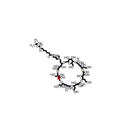 CC(C)(C)OC(=O)NCCCCCC(=O)NCc1cn(CCC2OC3OC(CO)C(OC(O)/C(O)=C(/O)C(CCO)OC(O)/C(O)=C(\O)C(CCO)OC(O)/C(O)=C(\O)C(CCO)OC(O)/C(O)=C(/O)C(CCO)OC4OC(CO)C(OC(O)/C(O)=C/2O)C(O)C4O)C(O)C3O)nn1